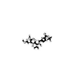 COC(=O)C[C@H](NC(=O)[C@@H](C(C)C)N(C)Cc1ccc(C(=O)OC(C)(C)C)s1)C(=O)OC